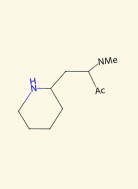 CNC(CC1CCCCN1)C(C)=O